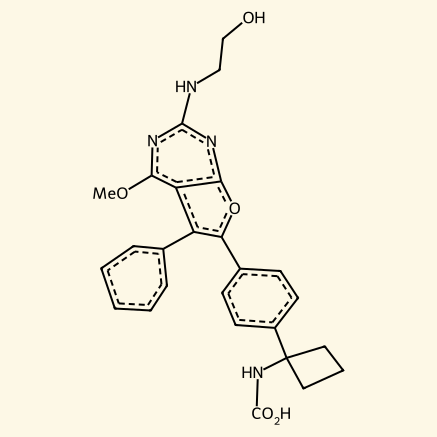 COc1nc(NCCO)nc2oc(-c3ccc(C4(NC(=O)O)CCC4)cc3)c(-c3ccccc3)c12